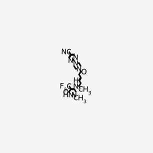 C[C@@H](C/C=C/CC(=O)N1CCN(c2ncc(C#N)cn2)CC1)NC1=C(C(F)(F)F)C(=O)NN(C)C1